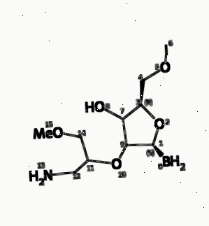 B[C@@H]1O[C@H](COI)C(O)C1OC(CN)COC